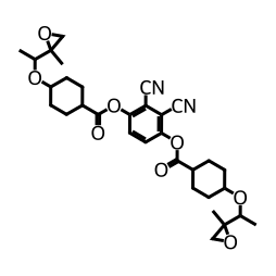 CC(OC1CCC(C(=O)Oc2ccc(OC(=O)C3CCC(OC(C)C4(C)CO4)CC3)c(C#N)c2C#N)CC1)C1(C)CO1